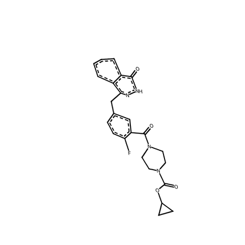 O=C(OC1CC1)N1CCN(C(=O)c2cc(Cc3n[nH]c(=O)c4ccccc34)ccc2F)CC1